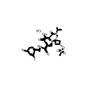 CC(C)N1C[C@]2(C[C@H](OS(C)(=O)=O)C2)n2cc(C(=O)NCc3ccc(F)cc3F)c(=O)c(O)c2C1=O.Cl